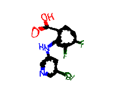 O=C(O)c1ccc(F)c(F)c1Nc1cncc(Br)c1